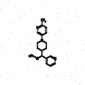 CCCOC(c1cccnc1)C1CCN(c2ccc(C(F)(F)F)nc2)CC1